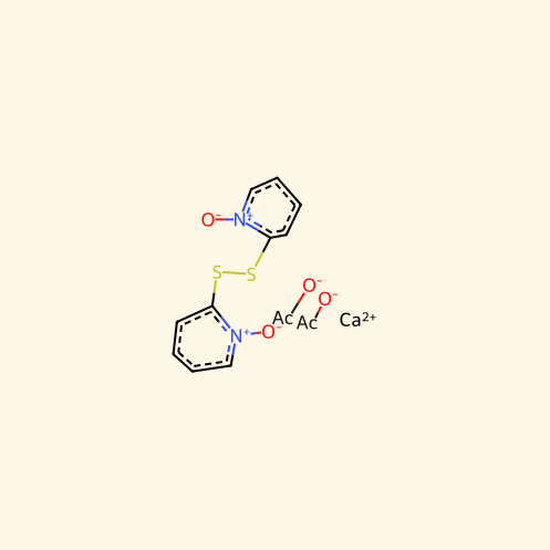 CC(=O)[O-].CC(=O)[O-].[Ca+2].[O-][n+]1ccccc1SSc1cccc[n+]1[O-]